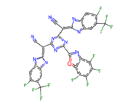 N#C/C(=C1\N=c2cc(F)c(C(F)(F)F)cc2=N1)c1nc(/C(C#N)=C2/N=c3cc(F)c(C(F)(F)F)cc3=N2)nc(-c2nc3c(F)c(F)c(F)c(F)c3o2)n1